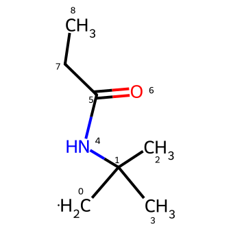 [CH2]C(C)(C)NC(=O)CC